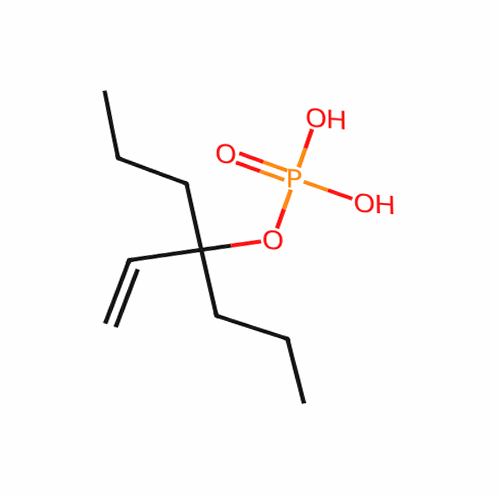 C=CC(CCC)(CCC)OP(=O)(O)O